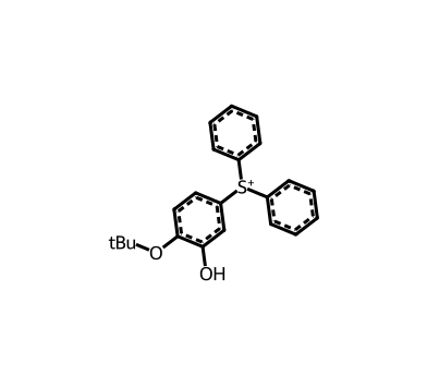 CC(C)(C)Oc1ccc([S+](c2ccccc2)c2ccccc2)cc1O